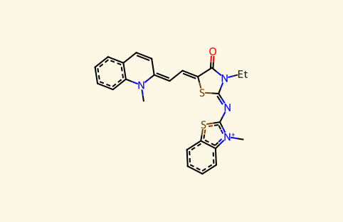 CCN1C(=O)/C(=C/C=C2\C=Cc3ccccc3N2C)S/C1=N\c1sc2ccccc2[n+]1C